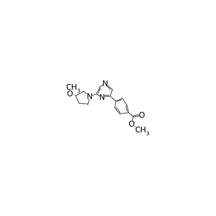 COC(=O)c1ccc(-c2cncc(N3CC[C@H](OC)C3)n2)cc1